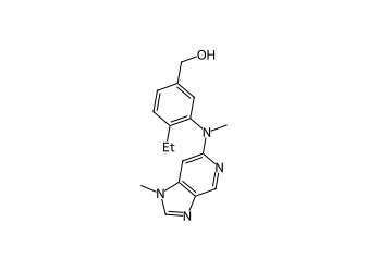 CCc1ccc(CO)cc1N(C)c1cc2c(cn1)ncn2C